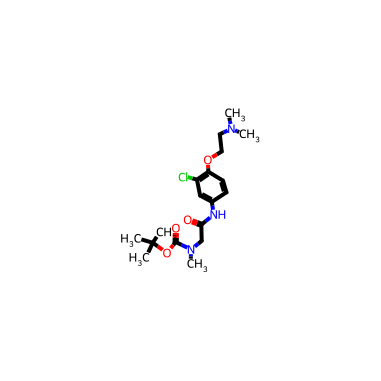 CN(C)CCOc1ccc(NC(=O)CN(C)C(=O)OC(C)(C)C)cc1Cl